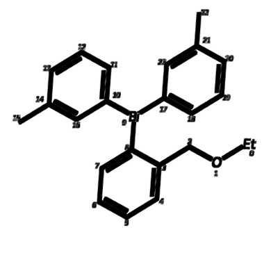 CCOCc1cccc[c]1[Bi]([c]1cccc(C)c1)[c]1cccc(C)c1